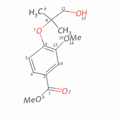 COC(=O)c1ccc(OC(C)(C)CO)c(OC)c1